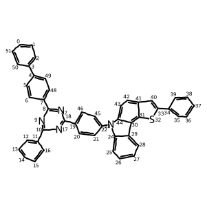 c1ccc(-c2ccc(-c3nc(-c4ccccc4)nc(-c4ccc(-n5c6ccccc6c6c7sc(-c8ccccc8)cc7ccc65)cc4)n3)cc2)cc1